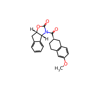 COc1ccc2c(c1)CC[C@@H](C(=O)N1C(=O)O[C@H]3Cc4ccccc4[C@H]31)C2